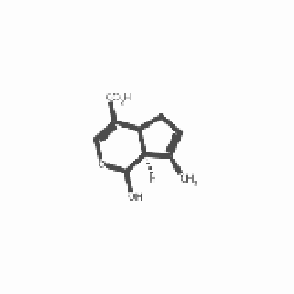 CC1=CCC2C(C(=O)O)=COC(O)[C@H]12